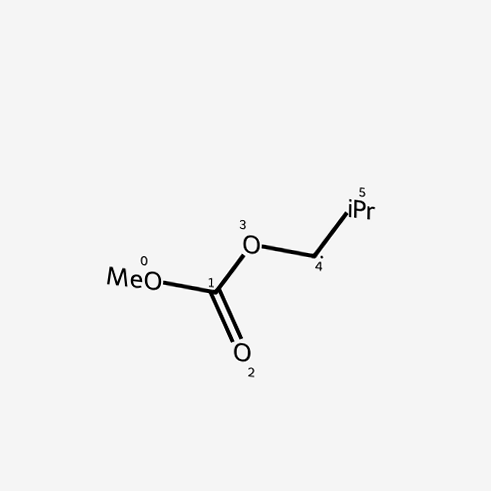 COC(=O)O[CH]C(C)C